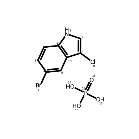 Clc1c[nH]c2ccc(Br)cc12.O=P(O)(O)O